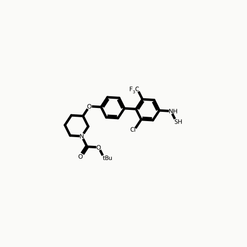 CC(C)(C)OC(=O)N1CCCC(Oc2ccc(-c3c(Cl)cc(NS)cc3C(F)(F)F)cc2)C1